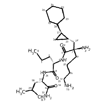 CCC[C@H](NC(=O)[C@@](N)(CCCCN)C[C@@H]1C[C@H]1C1CCCCC1)C(=O)N[C@@H](CC(C)C)C(N)=O